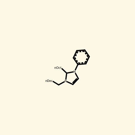 CCCCCCCCCCCN1C=CN(c2ccccc2)C1CCCCCCCC